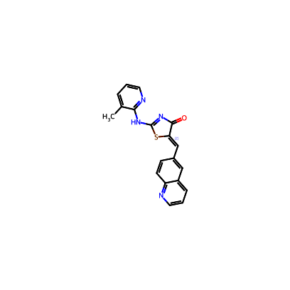 Cc1cccnc1NC1=NC(=O)/C(=C/c2ccc3ncccc3c2)S1